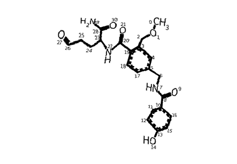 COCc1cc(CNC(=O)c2ccc(O)cc2)ccc1C(=O)NC(CCC=O)C(N)=O